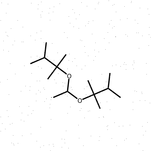 [CH2]C(OC(C)(C)C(C)C)OC(C)(C)C(C)C